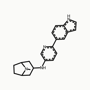 CN1C2CCC1CC(Nc1ccc(-c3ccc4[nH]ccc4c3)nc1)C2